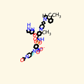 Cc1cc(C(=O)NS(=O)(=O)c2ccc(NCC3(F)CCN(C4COC4)CC3)c([N+](=O)[O-])c2)c(Oc2cnc3[nH]ccc3c2)cc1N1CCC2(CC1)CC(N1CCCC1c1ccccc1C(C)C)C2